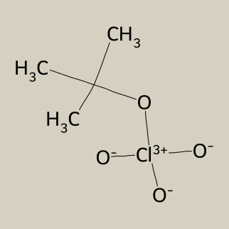 CC(C)(C)O[Cl+3]([O-])([O-])[O-]